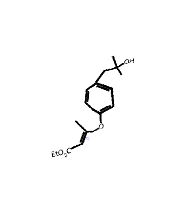 CCOC(=O)/C=C(\C)Oc1ccc(CC(C)(C)O)cc1